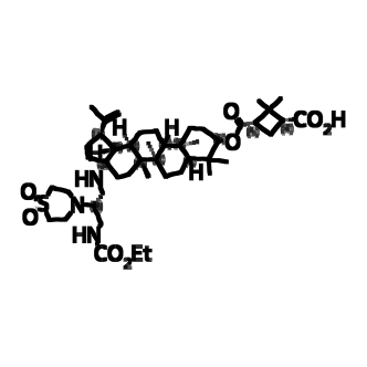 C=C(C)[C@@H]1CC[C@]2(NC[C@H](CNC(=O)OCC)N3CCS(=O)(=O)CC3)CC[C@]3(C)[C@H](CC[C@@H]4[C@@]5(C)CC[C@H](OC(=O)[C@H]6C[C@@H](C(=O)O)C6(C)C)C(C)(C)[C@@H]5CC[C@]43C)[C@@H]12